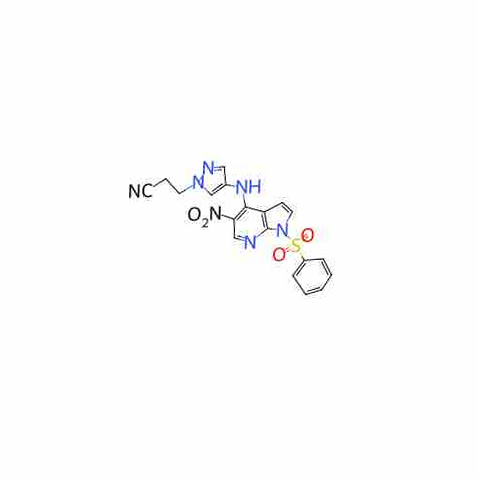 N#CCCn1cc(Nc2c([N+](=O)[O-])cnc3c2ccn3S(=O)(=O)c2ccccc2)cn1